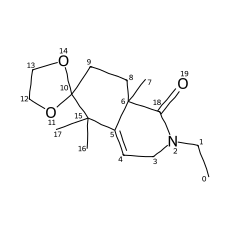 CCN1CC=C2C(C)(CCC3(OCCO3)C2(C)C)C1=O